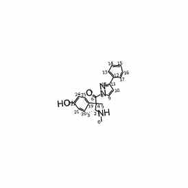 CN[C@H](C)C(C)(C(=O)n1ccc(-c2ccccc2)n1)c1ccc(O)cc1